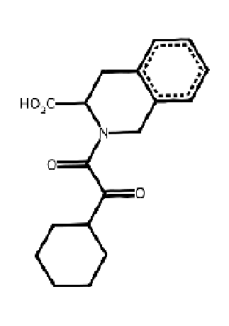 O=C(C(=O)N1Cc2ccccc2CC1C(=O)O)C1CCCCC1